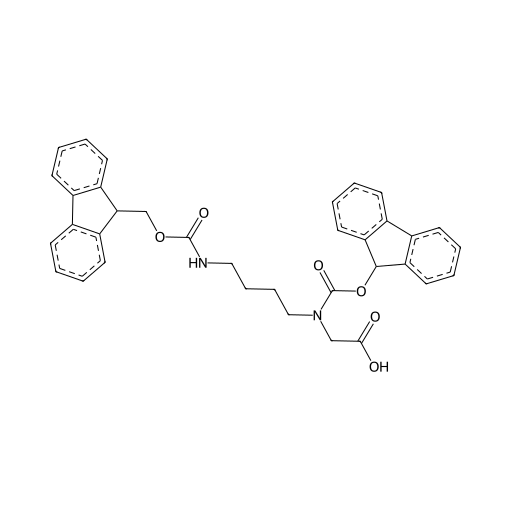 O=C(O)CN(CCCCNC(=O)OCC1c2ccccc2-c2ccccc21)C(=O)OC1c2ccccc2-c2ccccc21